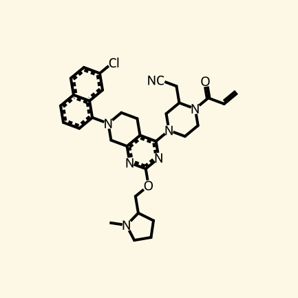 C=CC(=O)N1CCN(c2nc(OCC3CCCN3C)nc3c2CCN(c2cccc4ccc(Cl)cc24)C3)CC1CC#N